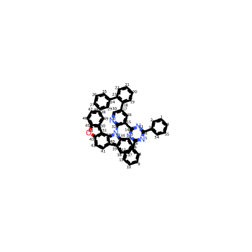 c1ccc(-c2nc(-c3ccccc3)nc(-c3cc(-c4ccccc4-c4ccccc4)cnc3-n3c4ccccc4c4ccc5oc6ccccc6c5c43)n2)cc1